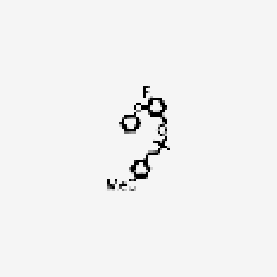 COc1ccc(C=CC(C)(C)COCc2ccc(F)c(Oc3ccccc3)c2)cc1